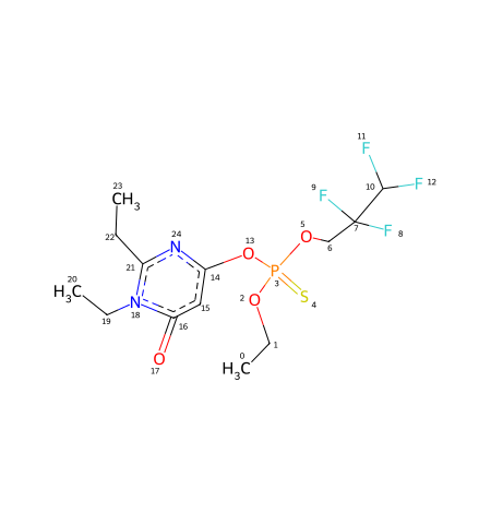 CCOP(=S)(OCC(F)(F)C(F)F)Oc1cc(=O)n(CC)c(CC)n1